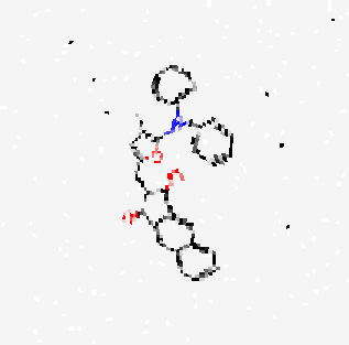 Cc1cc(C=C2C(=O)c3cc4ccccc4cc3C2=O)oc1N(c1ccccc1)c1ccccc1